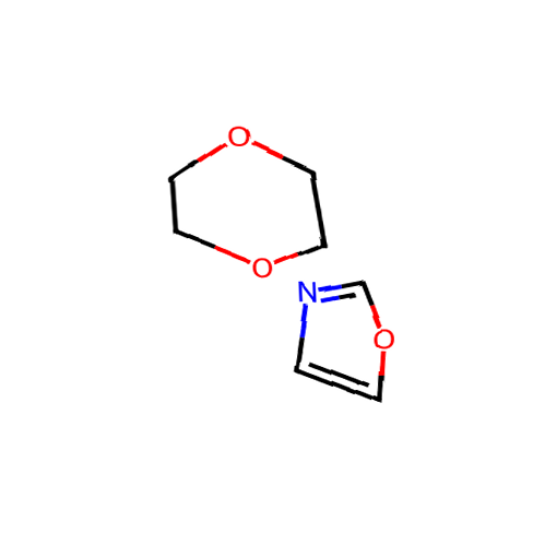 C1COCCO1.c1cocn1